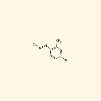 FC(F)(F)c1cc(Br)ccc1/N=N/Cl